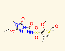 CCOc1nn(C(=O)NS(=O)(=O)C2=C(OC)S(=C=O)C=C2C)c(=O)n1C